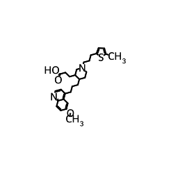 COc1ccc2nccc(CCCC3CCN(CCCc4ccc(C)s4)CC3CCC(=O)O)c2c1